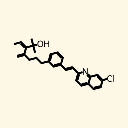 C=C(CCCc1cccc(/C=C/c2ccc3ccc(Cl)cc3n2)c1)/C(=C\C)C(C)(C)O